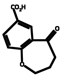 O=C(O)c1ccc2c(c1)C(=O)CCCO2